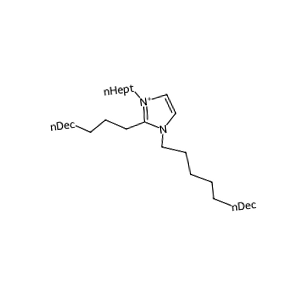 CCCCCCCCCCCCCCCn1cc[n+](CCCCCCC)c1CCCCCCCCCCCCC